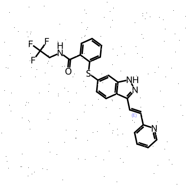 O=C(NCC(F)(F)F)c1ccccc1Sc1ccc2c(/C=C/c3ccccn3)n[nH]c2c1